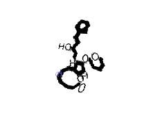 O=C1CCC/C=C\C[C@@H]2[C@@H](CC[C@@H](O)CCc3ccccc3)[C@H](OC3CCCCO3)C[C@@H]2O1